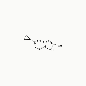 Oc1cc2cc(C3CC3)ccc2[nH]1